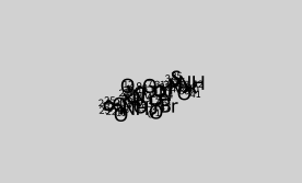 COc1ccc2c(O[C@H]3C[C@@H](C=O)N(C(=O)[C@@H](NC(=O)OC4CCCC4)C(C)(C)C)C3)cc(-c3csc(NC(=O)C(C)C)n3)nc2c1Br